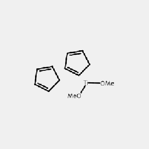 C1=CCC=C1.C1=CCC=C1.C[O][Ti][O]C